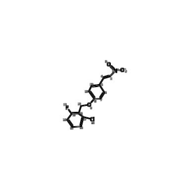 O=[N+]([O-])/C=C/c1ccc(OCc2c(F)cccc2Cl)cc1